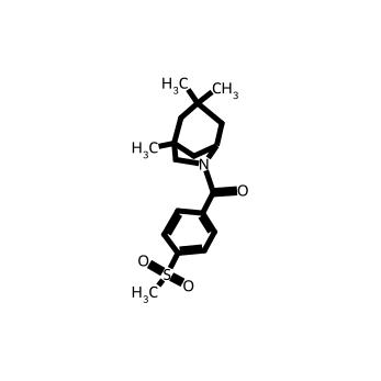 CC1(C)CC2CC(C)(CN2C(=O)c2ccc(S(C)(=O)=O)cc2)C1